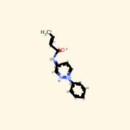 C/C=C/C(=O)N=c1ccn(-c2ccccc2)nc1